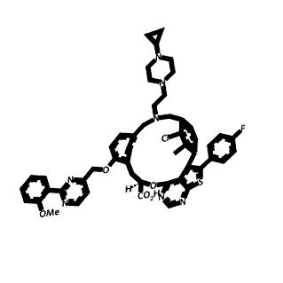 COc1ccccc1-c1nccc(COc2ccc3cc2C[C@H](C(=O)O)Oc2ncnc4sc(-c5ccc(F)cc5)c(c24)-c2ccc(c(Cl)c2C)CN(CCN2CCN(C4CC4)CC2)C3)n1